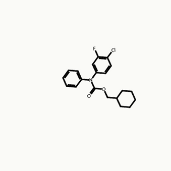 O=C(OCC1CCCCC1)N(c1ccccc1)c1ccc(Cl)c(F)c1